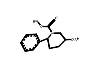 CC(C)(C)OC(=O)N1CC(C(=O)O)CCC1c1ccccc1